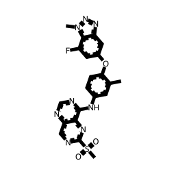 Cc1cc(Nc2ncnc3cnc(S(C)(=O)=O)nc23)ccc1Oc1cc(F)c2c(c1)nnn2C